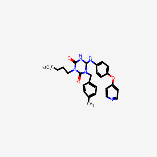 CCOC(=O)CCCN1C(=O)NC(Nc2ccc(Oc3ccncc3)cc2)N(Cc2ccc(C)cc2)C1=O